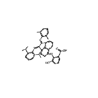 Cc1cccc(C)c1N=C1C(=Nc2c(C(C)C)cccc2C(C)C)c2cccc3cccc1c23.O=C(O)c1cccc(O)c1O